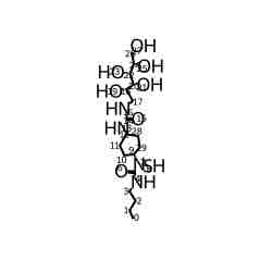 CCCCNC(=O)N(S)[C@H]1CC[C@H](NC(=O)NC[C@H](O)[C@@H](O)[C@H](O)[C@H](O)CO)CC1